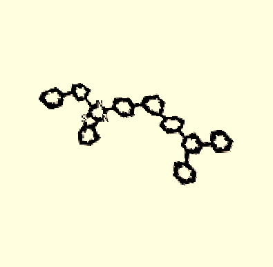 c1ccc(-c2cc(-c3ccccc3)cc(-c3ccc(-c4cccc(-c5ccc(-c6nc(-c7cccc(-c8ccccc8)c7)c7sc8ccccc8c7n6)cc5)c4)cc3)c2)cc1